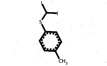 Cc1ccc(SC(I)I)cc1